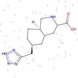 O=C(O)C1CC2C[C@@H](Cc3nn[nH]n3)CC[C@H]2CN1